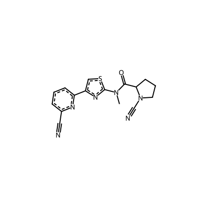 CN(C(=O)C1CCCN1C#N)c1nc(-c2cccc(C#N)n2)cs1